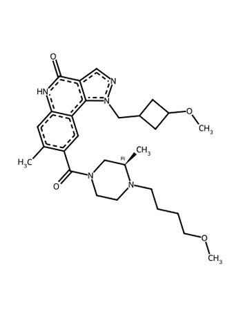 COCCCCN1CCN(C(=O)c2cc3c(cc2C)[nH]c(=O)c2cnn(CC4CC(OC)C4)c23)C[C@H]1C